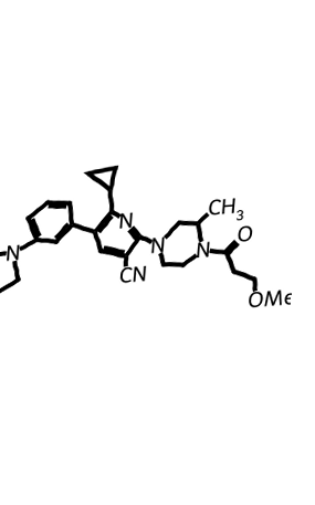 COCCC(=O)N1CCN(c2nc(C3CC3)c(-c3cccc(N4CC=CC4=O)c3)cc2C#N)CC1C